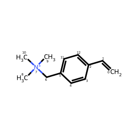 C=Cc1ccc(C[N+](C)(C)C)cc1